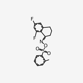 Cc1ccccc1S(=O)(=O)ON=C1CCCc2cc(F)cc(F)c21